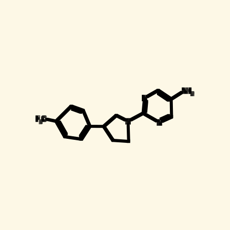 Nc1cnc(N2CCC(c3ccc(C(F)(F)F)cc3)C2)nc1